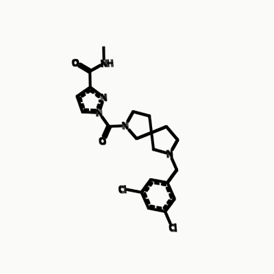 CNC(=O)c1ccn(C(=O)N2CCC3(CCN(Cc4cc(Cl)cc(Cl)c4)C3)C2)n1